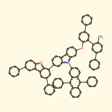 Cc1ccc(-c2ccccc2)cc1-c1cc(-c2ccccc2)ccc1Oc1ccc2c3ccc(-c4cc(-c5ccccc5)cc5c4oc4ccc(-c6ccccc6)cc45)cc3n(-c3ccc4c(-c5ccccc5)c5ccccc5c(-c5ccccc5)c4c3)c2c1